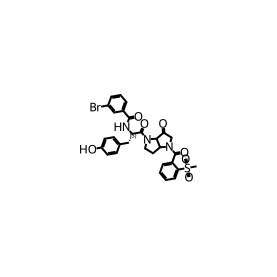 CS(=O)(=O)c1ccccc1C(=O)N1CC(=O)C2C1CCN2C(=O)[C@H](Cc1ccc(O)cc1)NC(=O)c1cccc(Br)c1